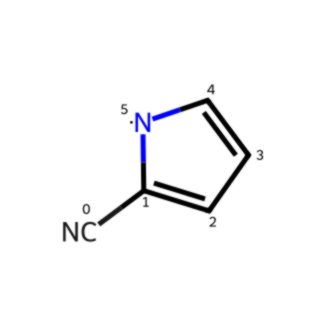 N#CC1=CC=C[N]1